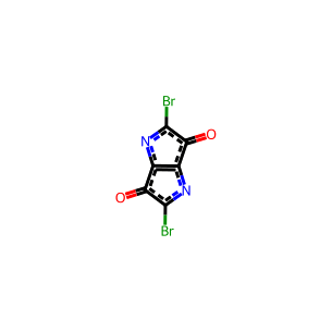 O=c1c(Br)nc2c(=O)c(Br)nc1=2